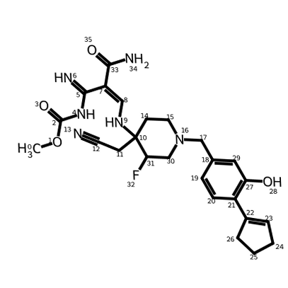 COC(=O)NC(=N)/C(=C\NC1(CC#N)CCN(Cc2ccc(C3=CCCC3)c(O)c2)CC1F)C(N)=O